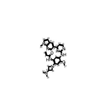 C=CC(=O)Nc1cc(Nc2nccc(-c3cnc4c(ccn4C)c3)n2)c(OC)cc1N1CC(N(C)C)C1